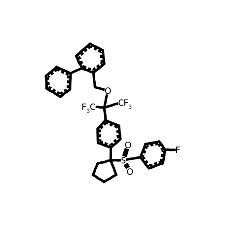 O=S(=O)(c1ccc(F)cc1)C1(c2ccc(C(OCc3ccccc3-c3ccccc3)(C(F)(F)F)C(F)(F)F)cc2)CCCC1